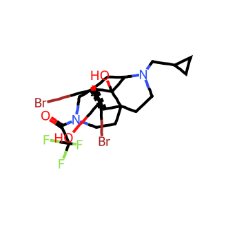 O=C(N1CCC23CCN(CC4CC4)C(Cc4cc(Br)c(O)c(Br)c42)C3(O)CC1)C(F)(F)F